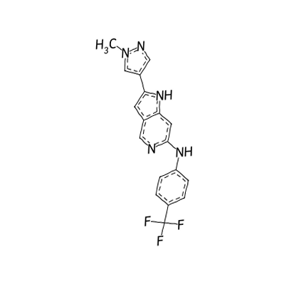 Cn1cc(-c2cc3cnc(Nc4ccc(C(F)(F)F)cc4)cc3[nH]2)cn1